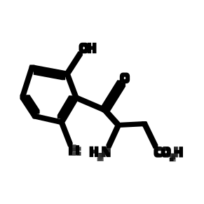 CCc1cccc(O)c1C(=O)C(N)CC(=O)O